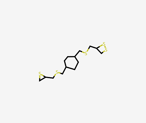 C1CC(CSCC2CSS2)CCC1CSCC1CS1